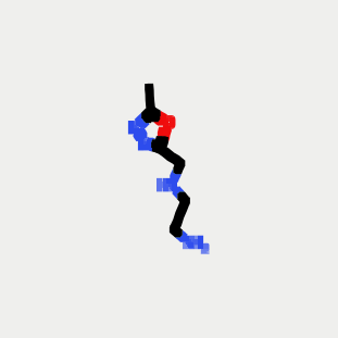 Cc1nnc(CNCCN)o1